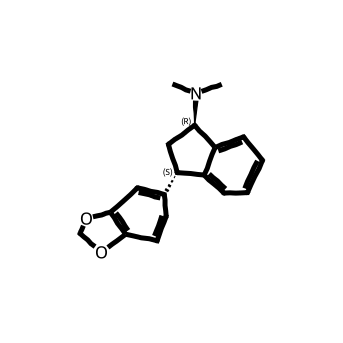 CN(C)[C@@H]1C[C@@H](c2ccc3c(c2)OCO3)c2ccccc21